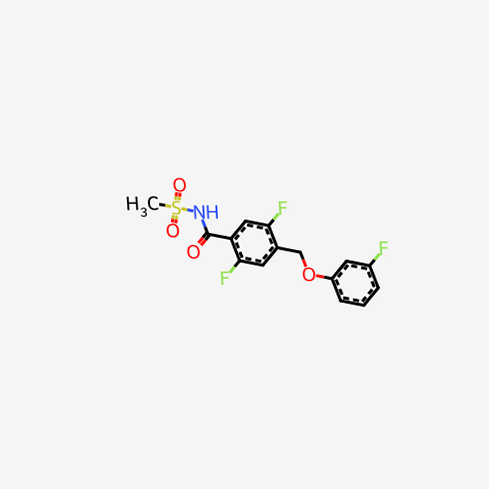 CS(=O)(=O)NC(=O)c1cc(F)c(COc2cccc(F)c2)cc1F